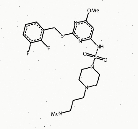 CNCCCN1CCN(S(=O)(=O)Nc2cc(OC)nc(SCc3cccc(F)c3F)n2)CC1